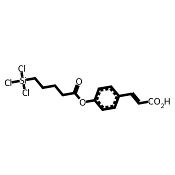 O=C(O)C=Cc1ccc(OC(=O)CCCC[Si](Cl)(Cl)Cl)cc1